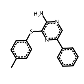 Cc1ccc(Sc2nc(-c3ccccc3)cnc2N)cc1